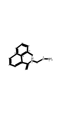 C=C(NCON)c1cccc2cccc(C)c12